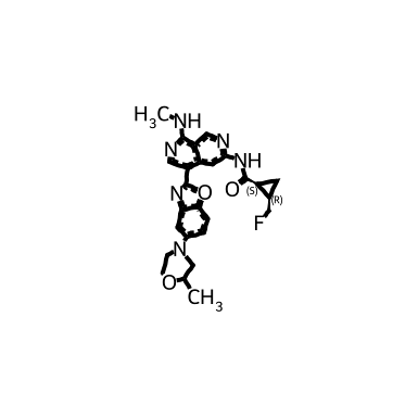 CNc1ncc(-c2nc3cc(N4CCOC(C)C4)ccc3o2)c2cc(NC(=O)[C@H]3C[C@H]3CF)ncc12